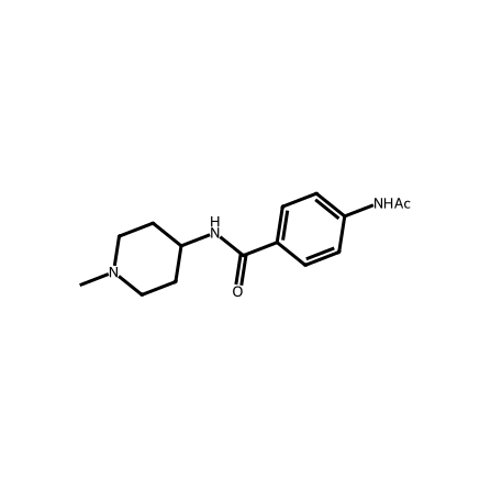 CC(=O)Nc1ccc(C(=O)NC2CCN(C)CC2)cc1